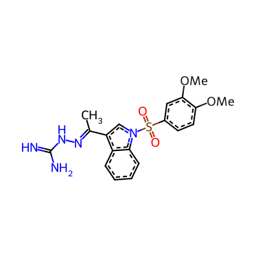 COc1ccc(S(=O)(=O)n2cc(C(C)=NNC(=N)N)c3ccccc32)cc1OC